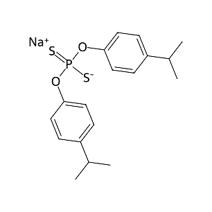 CC(C)c1ccc(OP(=S)([S-])Oc2ccc(C(C)C)cc2)cc1.[Na+]